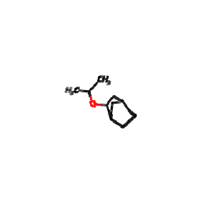 CC(C)OC1CC2CCC1C2